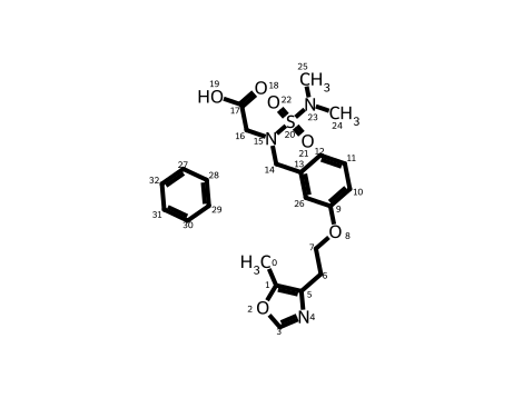 Cc1ocnc1CCOc1cccc(CN(CC(=O)O)S(=O)(=O)N(C)C)c1.c1ccccc1